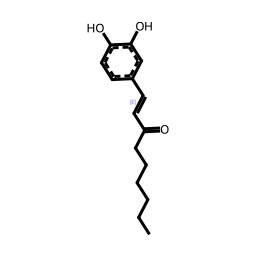 CCCCCCC(=O)/C=C/c1ccc(O)c(O)c1